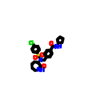 O=C(NC1CCCC1)c1ccc(CN([C@@H]2CCCCNC2=O)S(=O)(=O)c2ccc(Cl)cc2)cc1